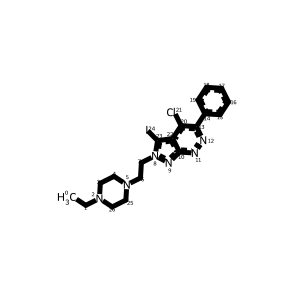 CCN1CCN(CCn2nc3nnc(-c4ccccc4)c(Cl)c3c2I)CC1